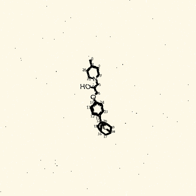 CC1CCN(CC(O)COc2ccc(C34CC5CC(CC3C5)C4)cc2)CC1